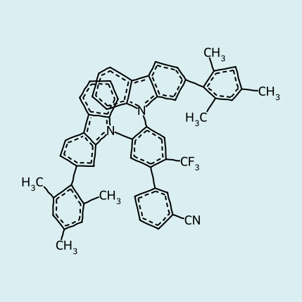 Cc1cc(C)c(-c2ccc3c4ccccc4n(-c4cc(-c5cccc(C#N)c5)c(C(F)(F)F)cc4-n4c5ccccc5c5ccc(-c6c(C)cc(C)cc6C)cc54)c3c2)c(C)c1